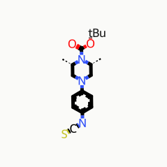 C[C@@H]1CN(c2ccc(N=C=S)cc2)C[C@H](C)N1C(=O)OC(C)(C)C